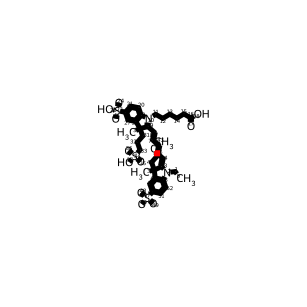 CCN1/C(=C/C=C/C=C/C2=[N+](CCCCCC(=O)O)c3ccc(S(=O)(=O)O)cc3C2(C)CCCS(=O)(=O)O)C(C)(CCOC)c2cc(S(=O)(=O)[O-])ccc21